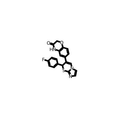 O=C1COc2ccc(C3=Cn4ccnc4SC3c3ccc(F)cc3)cc2N1